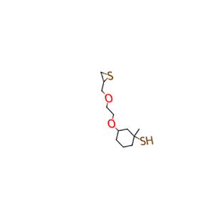 CC1(S)CCCC(OCCOCC2CS2)C1